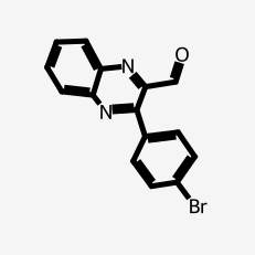 O=Cc1nc2ccccc2nc1-c1ccc(Br)cc1